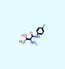 C/C(O)=C(\N)C(=O)Nc1ccc(F)cc1